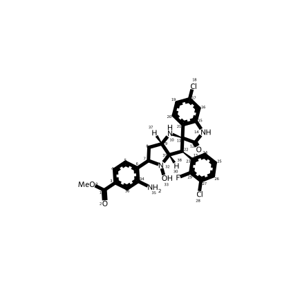 COC(=O)c1ccc(C2C[C@@H]3N[C@@]4(C(=O)Nc5cc(Cl)ccc54)[C@@H](c4cccc(Cl)c4F)[C@@H]3N2O)c(N)c1